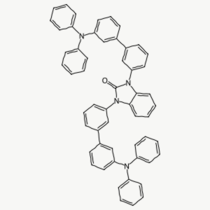 O=c1n(-c2cccc(-c3cccc(N(c4ccccc4)c4ccccc4)c3)c2)c2ccccc2n1-c1cccc(-c2cccc(N(c3ccccc3)c3ccccc3)c2)c1